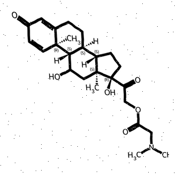 CN(C)CC(=O)OCC(=O)[C@@]1(O)CC[C@H]2[C@@H]3CCC4=CC(=O)C=C[C@]4(C)[C@H]3C(O)C[C@@]21C